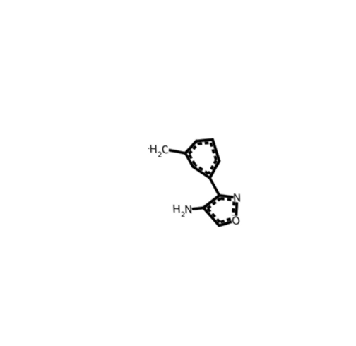 [CH2]c1cccc(-c2nocc2N)c1